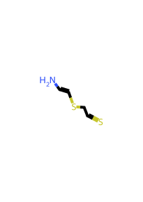 NC=CSCC=S